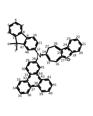 CC1(C)c2ccccc2-c2ccc(N(C3=CC=c4sc5ccccc5c4=CC3)c3ccc4c5ccccc5c5ccccc5c4c3)cc21